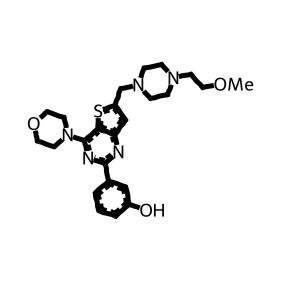 COCCN1CCN(Cc2cc3nc(-c4cccc(O)c4)nc(N4CCOCC4)c3s2)CC1